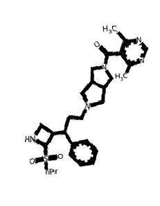 CCCS(=O)(=O)C1NCC1C(CCN1CC2CN(C(=O)c3c(C)ncnc3C)CC2C1)c1ccccc1